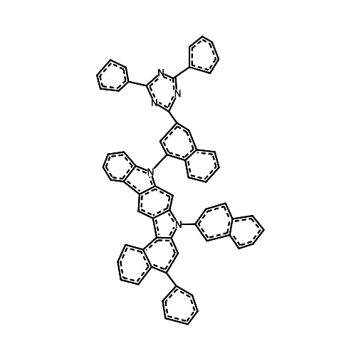 c1ccc(-c2nc(-c3ccccc3)nc(-c3cc(-n4c5ccccc5c5cc6c7c8ccccc8c(-c8ccccc8)cc7n(-c7ccc8ccccc8c7)c6cc54)c4ccccc4c3)n2)cc1